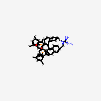 Cc1cc(C)cc(P(c2cc(C)cc(C)c2)c2ccc3cc4ccc3c2-c2c(P(c3cc(C)cc(C)c3)c3cc(C)cc(C)c3)ccc3cc(ccc23)CN(C(=N)N)C4)c1